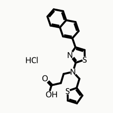 Cl.O=C(O)CCN(Cc1cccs1)c1nc(-c2ccc3ccccc3c2)cs1